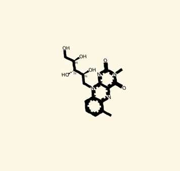 Cc1cccc2c1nc1c(=O)n(C)c(=O)nc-1n2C[C@H](O)[C@H](O)[C@H](O)CO